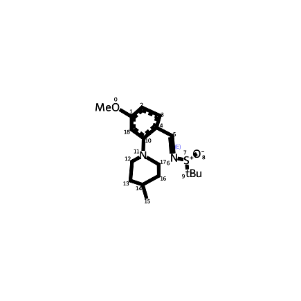 COc1ccc(/C=N/[S+]([O-])C(C)(C)C)c(N2CCC(C)CC2)c1